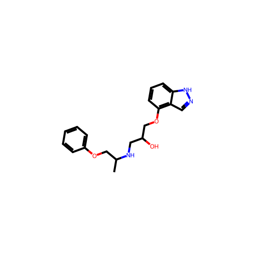 CC(COc1ccccc1)NCC(O)COc1cccc2[nH]ncc12